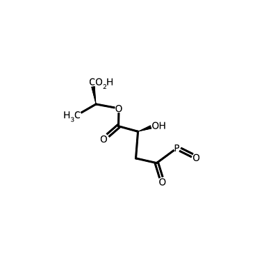 C[C@H](OC(=O)[C@@H](O)CC(=O)P=O)C(=O)O